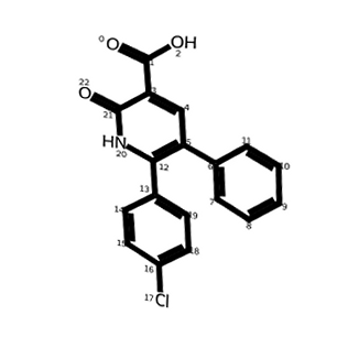 O=C(O)c1cc(-c2ccccc2)c(-c2ccc(Cl)cc2)[nH]c1=O